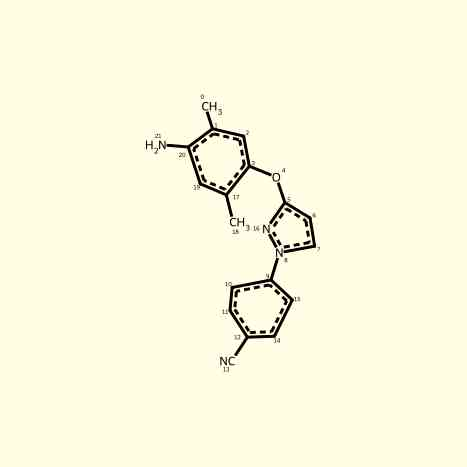 Cc1cc(Oc2ccn(-c3ccc(C#N)cc3)n2)c(C)cc1N